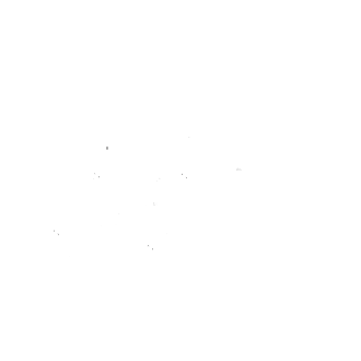 CCCN1Cc2nc(C)sc2[C@@]2(CNC[C@H]2C(=O)N2CC[C@@H](c3ccccc3)C[C@H]2C2CCCCC2)C1